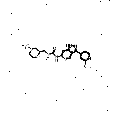 Cc1cc(-c2n[nH]c3cc(NC(=O)NCC4CN(C)CCO4)ncc23)ccn1